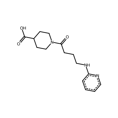 O=C(O)C1CCN(C(=O)CCCNc2ccccn2)CC1